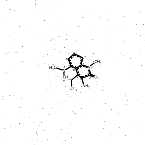 CCc1c(N)c(=O)n(C)c2cccc(N(C)C)c12